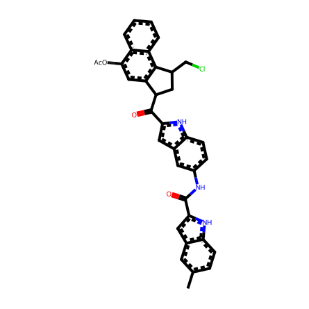 CC(=O)Oc1cc2c(c3ccccc13)C(CCl)CC2C(=O)c1cc2cc(NC(=O)c3cc4cc(C)ccc4[nH]3)ccc2[nH]1